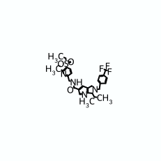 CCS(=O)(=O)c1ccc(CNC(=O)c2cnc3c(c2)CN(Cc2ccc(C(F)(F)F)cc2)C3C(C)C)nc1C